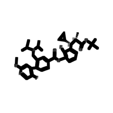 COc1cc(-c2ccc(C(=O)Oc3cccc([C@H](C4CC4)[C@H](C)C(=O)OC(C)(C)C)c3F)cc2CN(C(C)C)C(C)C)c(F)cn1